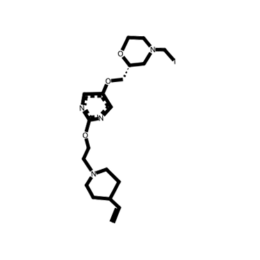 C=CC1CCN(CCOc2ncc(OC[C@H]3CN(CI)CCO3)cn2)CC1